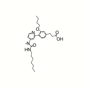 CCCCCCCNC(=O)N(C)c1ccnc(-c2ccc(CCC(=O)O)cc2OCCCC)c1